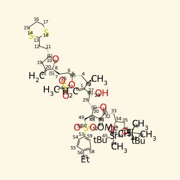 C=C([C@H](C)C[C@@H](CC[C@@H]1O[C@@H](CCC2SCCCS2)CC1=C)OS(C)(=O)=O)[C@H](O)C[C@@H]1O[C@H](CC(CO[Si](C)(C)C(C)(C)C)O[Si](C)(C)C(C)(C)C)[C@H](OC)[C@H]1CS(=O)(=O)c1ccc(CC)cc1